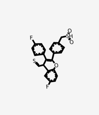 O=[SH](=O)Cc1ccc(C2=C(c3ccc(F)cc3)C(C=S)c3cc(F)ccc3O2)cc1